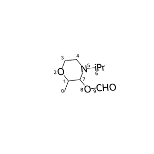 CC1OCCN(C(C)C)C1OC=O